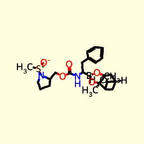 C[S+]([O-])N1CCCC1COC(=O)NC(Cc1ccccc1)B1OC2C[C@@H]3CC(C3(C)C)[C@]2(C)O1